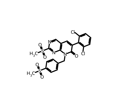 CS(=O)(=O)c1ccc(Cn2c(=O)c(-c3c(Cl)cccc3Cl)cc3cnc(S(C)(=O)=O)nc32)cc1